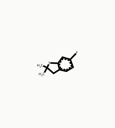 CC1(C)Cc2ccc(F)cc2S1